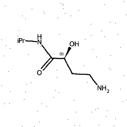 CC(C)NC(=O)[C@@H](O)CCN